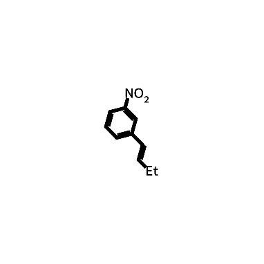 [CH2]CC=Cc1cccc([N+](=O)[O-])c1